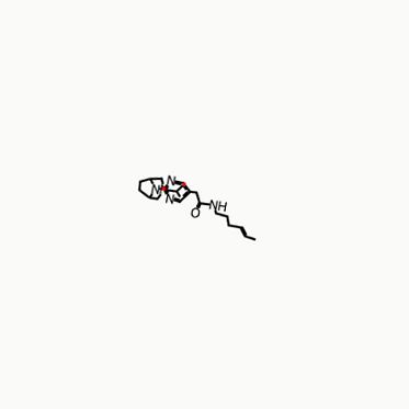 CC=CCCCNC(=O)Cc1cnc(N2C3CCC2CN(C(C)C)C3)nc1